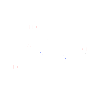 O=C1N(CO)CC(O)[N+]1(O)CO